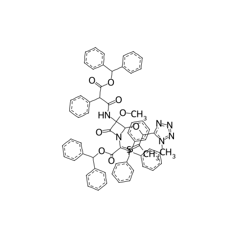 COC1(NC(=O)C(C(=O)OC(c2ccccc2)c2ccccc2)c2ccccc2)C(=O)N(C(C(=O)OC(c2ccccc2)c2ccccc2)=P(c2ccccc2)(c2ccccc2)c2ccccc2)C1OC(C(C)=S)c1nnnn1C